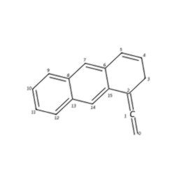 C=C=C1CC=Cc2cc3ccccc3cc21